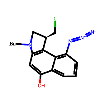 CC(C)(C)N1C[C@@H](CCl)c2c1cc(O)c1cccc(N=[N+]=[N-])c21